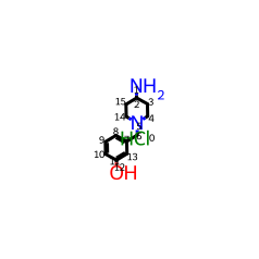 Cl.NC1CCN(Cc2cccc(O)c2)CC1